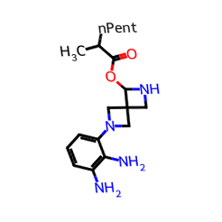 CCCCCC(C)C(=O)OC1NCC12CN(c1cccc(N)c1N)C2